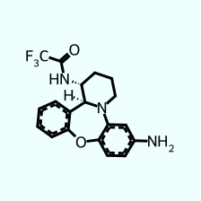 Nc1ccc2c(c1)N1CCC[C@@H](NC(=O)C(F)(F)F)[C@@H]1c1ccccc1O2